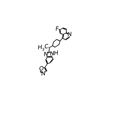 C[C@@H](c1nc2cc(-c3cnco3)ccc2[nH]1)C1CCC(c2ccnc3ccc(F)cc23)CC1